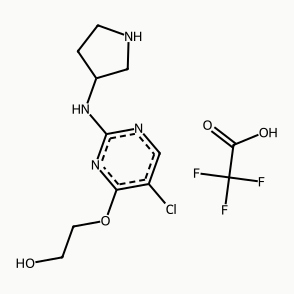 O=C(O)C(F)(F)F.OCCOc1nc(NC2CCNC2)ncc1Cl